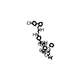 CC(C)N(C)C(=O)C[C@H](CSc1ccccc1)Nc1ccc(S(=O)(=O)NC(=O)c2ccc(NCCNCc3ccccc3-c3ccc(Cl)cc3)cc2)cc1S(C)(=O)=O